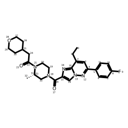 CCc1cc(-c2ccc(F)cc2)nn2cc(C(=O)N3CCN(C(=O)CC4CCOCC4)[C@@H](C)C3)nc12